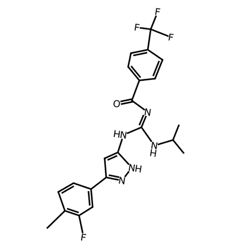 Cc1ccc(-c2cc(N/C(=N\C(=O)c3ccc(C(F)(F)F)cc3)NC(C)C)[nH]n2)cc1F